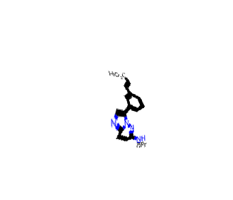 CCCNc1ccc2ncc(-c3cccc(/C=C/C(=O)O)c3)n2n1